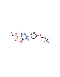 CCOC(=O)c1c(C)nc(-c2ccc(OCCC(C)(C)C)cc2)[nH]c1=O